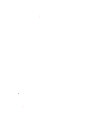 CCC(O)C=CC1C(O)CC(=O)C1CCCCCC(=O)O